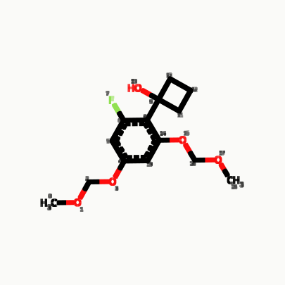 COCOc1cc(F)c(C2(O)CCC2)c(OCOC)c1